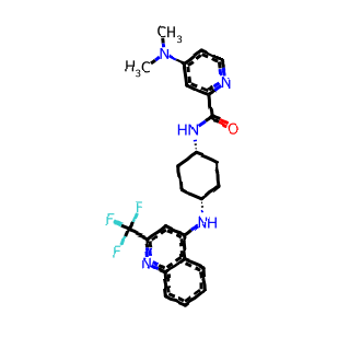 CN(C)c1ccnc(C(=O)N[C@H]2CC[C@@H](Nc3cc(C(F)(F)F)nc4ccccc34)CC2)c1